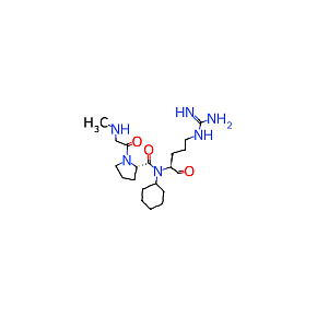 CNCC(=O)N1CCC[C@H]1C(=O)N(C1CCCCC1)[C@H](C=O)CCCNC(=N)N